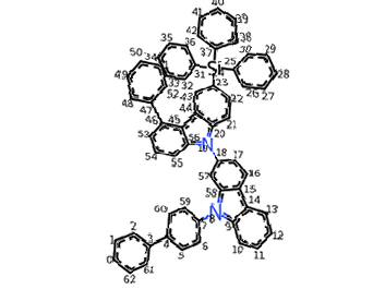 c1ccc(-c2ccc(-n3c4ccccc4c4ccc(-n5c6ccc([Si](c7ccccc7)(c7ccccc7)c7ccccc7)cc6c6c(-c7ccccc7)cccc65)cc43)cc2)cc1